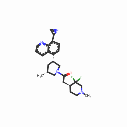 C[C@@H]1C[C@H](c2ccc(C3C=N3)c3ncccc23)CN(C(=O)C[C@@H]2CCN(C)CC2(F)F)C1